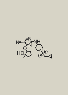 CC1(O)CCCC1Oc1nc(NC2CCN(S(=O)(=O)CC3CC3)CC2)ncc1C#N